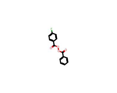 O=C(OOC(=O)c1ccc(F)cc1)c1ccccc1